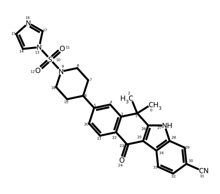 CC1(C)c2cc(C3CCN(S(=O)(=O)n4ccnc4)CC3)ccc2C(=O)c2c1[nH]c1cc(C#N)ccc21